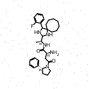 C[C@H](NC(=O)[C@@H](N)CC(=O)N1CCC[C@@H]1c1ccccc1)C1NC(c2ccccc2F)C2(CCCCCCC2)N1